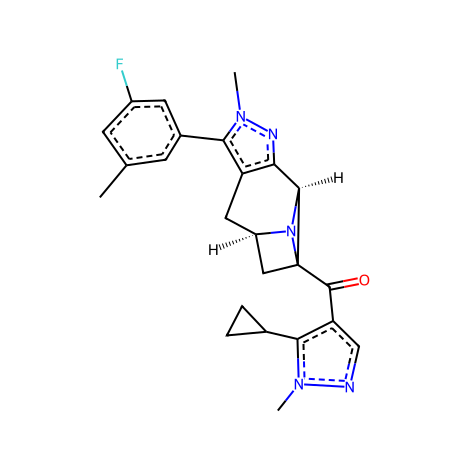 Cc1cc(F)cc(-c2c3c(nn2C)[C@@H]2N4[C@H](C3)CC24C(=O)c2cnn(C)c2C2CC2)c1